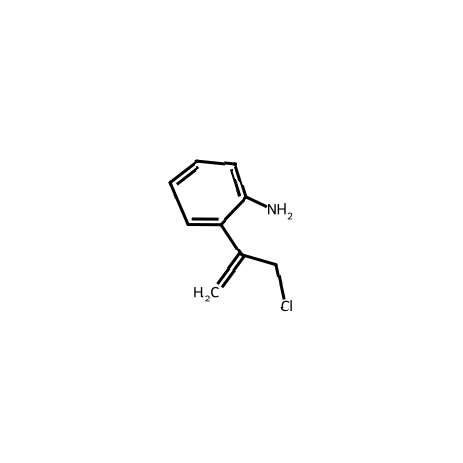 C=C(CCl)c1ccccc1N